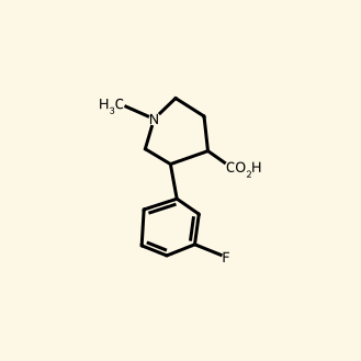 CN1CCC(C(=O)O)C(c2cccc(F)c2)C1